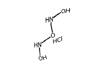 Cl.ONONO